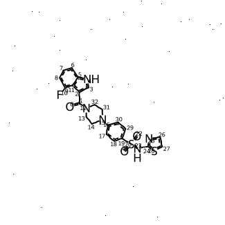 O=C(c1c[nH]c2cccc(F)c12)N1CCN(c2ccc(S(=O)(=O)Nc3nccs3)cc2)CC1